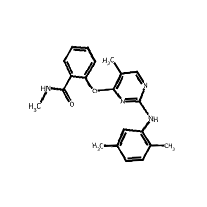 CNC(=O)c1ccccc1Oc1nc(Nc2cc(C)ccc2C)ncc1C